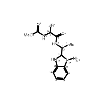 CCCC[C@H](NC(=O)[C@@H](NC(=O)OC)C(C)C)C1Nc2ccccc2N1N